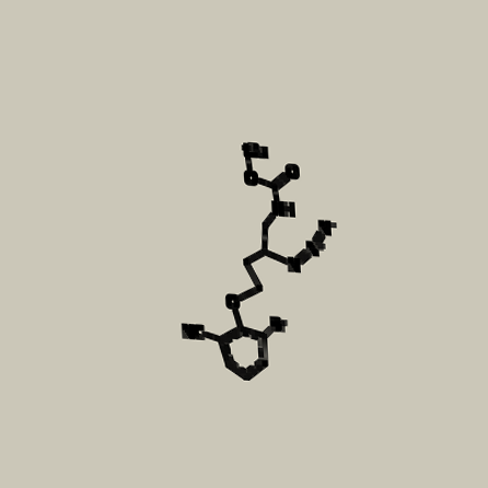 CC(C)(C)OC(=O)NCC(CCOc1c(Br)cccc1C#N)N=[N+]=[N-]